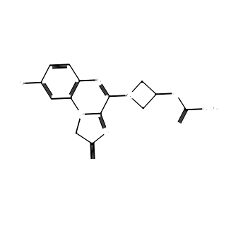 CNC(=O)OC1CN(C2=Nc3ccc(N)cc3N3CC(=O)N=C23)C1